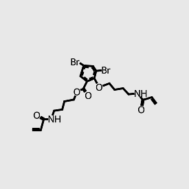 C=CC(=O)NCCCCOC(=O)c1cc(Br)cc(Br)c1OCCCCNC(=O)C=C